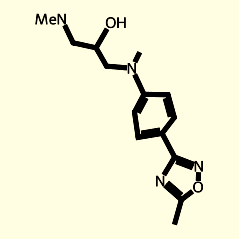 CNCC(O)CN(C)c1ccc(-c2noc(C)n2)cc1